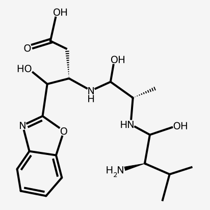 CC(C)[C@@H](N)C(O)N[C@@H](C)C(O)N[C@@H](CC(=O)O)C(O)c1nc2ccccc2o1